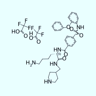 NCCCC[C@H](NC(=O)c1ccc(S(=O)(=O)Nc2ccccc2Oc2ccccc2)cc1)C(=O)NCC1CCNCC1.O=C(O)C(F)(F)F.O=C(O)C(F)(F)F